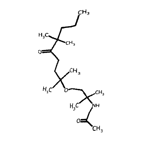 CCCC(C)(C)C(=O)CCC(C)(C)OCC(C)(C)NC(C)=O